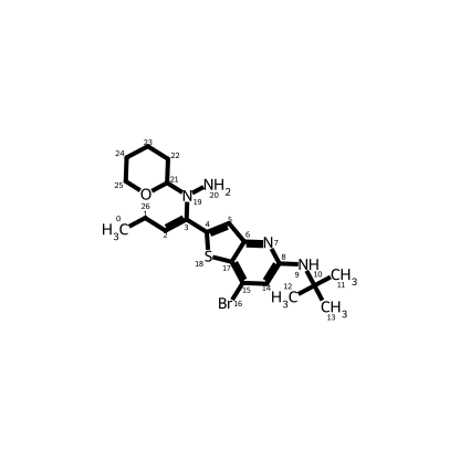 CC/C=C(/c1cc2nc(NC(C)(C)C)cc(Br)c2s1)N(N)C1CCCCO1